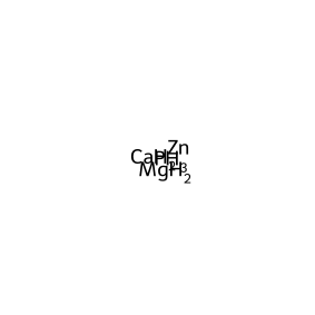 P.[CaH2].[MgH2].[Zn]